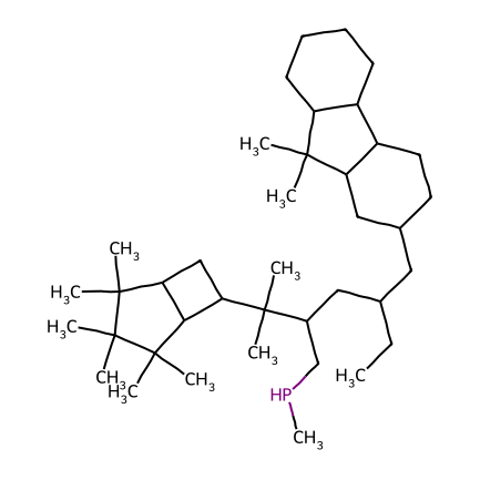 CCC(CC1CCC2C3CCCCC3C(C)(C)C2C1)CC(CPC)C(C)(C)C1CC2C1C(C)(C)C(C)(C)C2(C)C